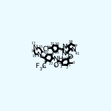 Cc1ccc(C(=O)Nc2ccc(CN3CCN(C)CC3)c(C(F)(F)F)c2)cc1Oc1nc(-c2ccc(Cl)cc2)nc2ccn(C)c12